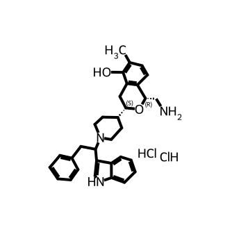 Cc1ccc2c(c1O)C[C@@H](C1CCN(C(Cc3ccccc3)c3c[nH]c4ccccc34)CC1)O[C@H]2CN.Cl.Cl